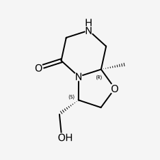 C[C@@]12CNCC(=O)N1[C@@H](CO)CO2